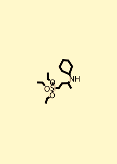 CCO[Si](CCC(C)NC1CCCCC1)(OCC)OCC